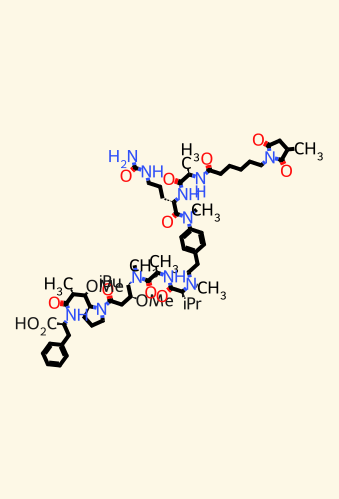 CC[C@H](C)[C@@H]([C@@H](CC(=O)N1CCC[C@H]1[C@H](OC)[C@@H](C)C(=O)N[C@@H](Cc1ccccc1)C(=O)O)OC)N(C)C(=O)[C@H](C)NC(=O)[C@H](C(C)C)N(C)CCc1ccc(N(C)C(=O)[C@H](CCCNC(N)=O)NC(=O)[C@H](C)NC(=O)CCCCCN2C(=O)CC(C)C2=O)cc1